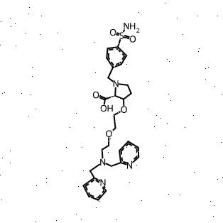 NS(=O)(=O)c1ccc(CN2CCC(OCCOCCN(Cc3ccccn3)Cc3ccccn3)[C@H]2C(=O)O)cc1